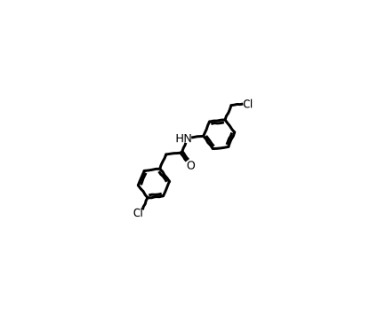 O=C(Cc1ccc(Cl)cc1)Nc1cccc(CCl)c1